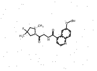 C[C@H]1CC(C)(F)CN1C(=O)CNC(=O)c1ccnc2ccc(OC(C)(C)C)cc12